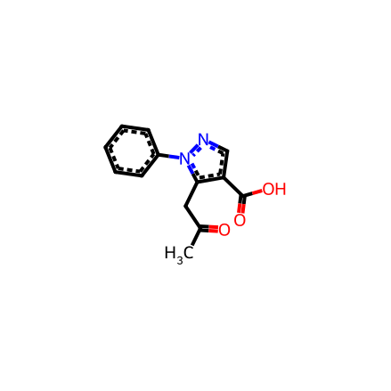 CC(=O)Cc1c(C(=O)O)cnn1-c1ccccc1